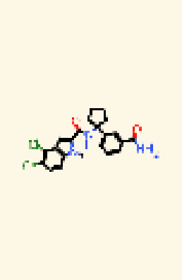 Cn1c(C(=O)NC2(c3cccc(C(N)=O)c3)CCCC2)cc2c(Cl)c(Cl)ccc21